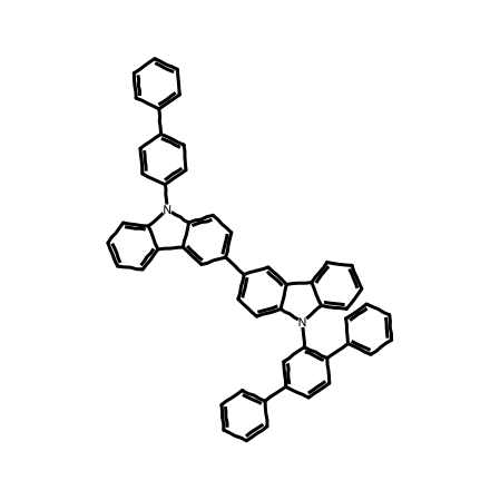 c1ccc(-c2ccc(-n3c4ccccc4c4cc(-c5ccc6c(c5)c5ccccc5n6-c5cc(-c6ccccc6)ccc5-c5ccccc5)ccc43)cc2)cc1